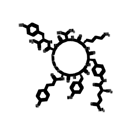 CC(O)C1NC(=O)[C@H](CCCCN)NC(=O)[C@@H](Cc2ccc(NC(=O)[C@@H](N)CCC(N)=O)cc2)NC(=O)[C@H](Cc2ccc(O)cc2)NC(=O)[C@H](NC(=O)CCc2ccc(Cl)cc2)CSSC[C@@H](C(=O)N[C@H](Cc2ccc(O)cc2)C(N)=O)NC1=O